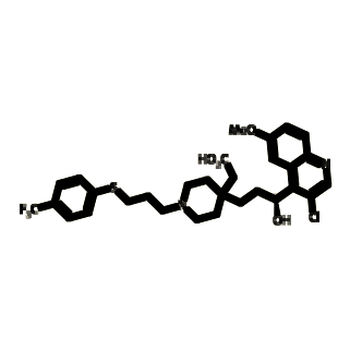 COc1ccc2ncc(Cl)c([C@@H](O)CCC3(CC(=O)O)CCN(CCCSc4ccc(C(F)(F)F)cc4)CC3)c2c1